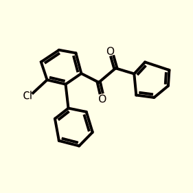 O=C(C(=O)c1cccc(Cl)c1-c1ccccc1)c1ccccc1